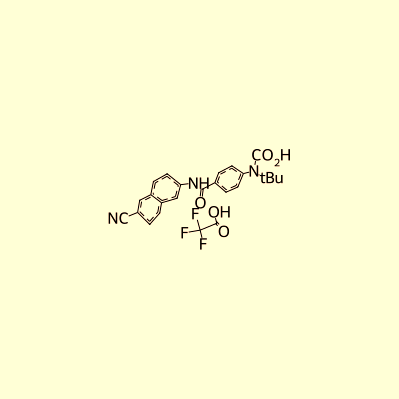 CC(C)(C)N(C(=O)O)c1ccc(C(=O)Nc2ccc3cc(C#N)ccc3c2)cc1.O=C(O)C(F)(F)F